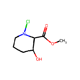 COC(=O)C1C(O)CCCN1Cl